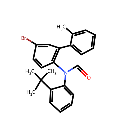 Cc1ccccc1-c1cc(Br)ccc1N(C=O)c1ccccc1C(C)(C)C